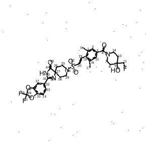 Cc1cc(C(=O)N2CCC(O)(CF)CC2)cc(C)c1/C=C/S(=O)(=O)N1CCC2(CC1)N=C(c1ccc3c(c1)OC(F)(F)O3)NC2=O